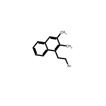 CC(=O)CCc1c(C)c(C)cc2ccccc12